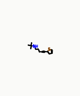 CC(C)(C)NCCCC#Cc1cccs1